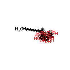 CCCCCCCCCCCCCCCCO[C@H](CC)COC(=O)O[C@@H]1C(O[C@H]2OC(CO)[C@@H](O)[C@H](O)C2O)C(O)[C@@H](O)[C@H](O)C1O[C@H]1OC(CO)[C@@H](O)C(O)[C@H]1O